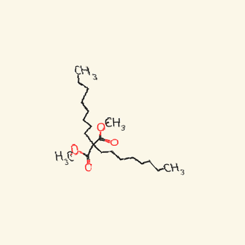 CCCCCCCCC(CCCCCCCC)(C(=O)OC)C(=O)OC